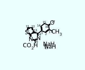 CC1=CC(c2nc(C(=O)O)nc3sccc23)=CCC1=O.[NaH].[NaH]